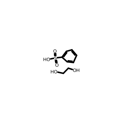 O=S(=O)(O)c1ccccc1.OCCO